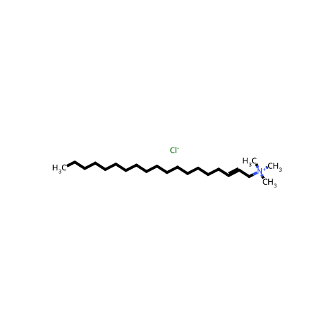 CCCCCCCCCCCCCCCCC=CC[N+](C)(C)C.[Cl-]